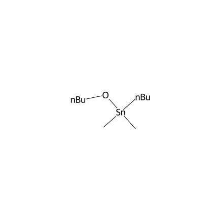 CCCC[O][Sn]([CH3])([CH3])[CH2]CCC